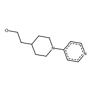 [O]CCC1CCN(c2ccncc2)CC1